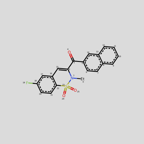 CCN1C(C(=O)c2ccc3ccccc3c2)=[C]c2cc(F)ccc2S1(=O)=O